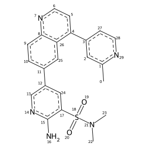 Cc1cc(-c2ccnc3ccc(-c4cnc(N)c(S(=O)(=O)N(C)C)c4)cc23)ccn1